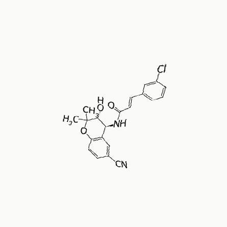 CC1(C)Oc2ccc(C#N)cc2[C@H](NC(=O)/C=C/c2cccc(Cl)c2)[C@H]1O